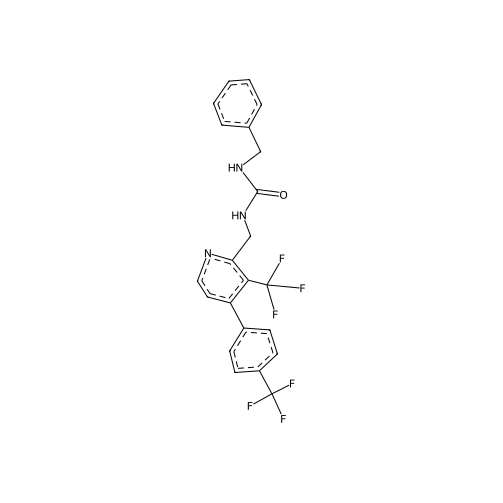 O=C(NCc1ccccc1)NCc1nccc(-c2ccc(C(F)(F)F)cc2)c1C(F)(F)F